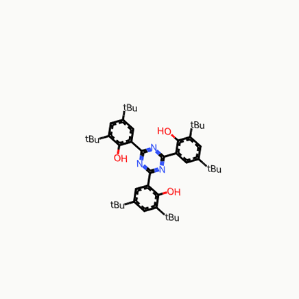 CC(C)(C)c1cc(-c2nc(-c3cc(C(C)(C)C)cc(C(C)(C)C)c3O)nc(-c3cc(C(C)(C)C)cc(C(C)(C)C)c3O)n2)c(O)c(C(C)(C)C)c1